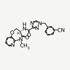 CN1C(=O)[C@@H](NC(=O)c2ncn(Cc3cccc(C#N)c3)n2)COc2cccnc21